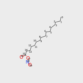 CCCCCCCCCCCCCCCC(=O)ON=O